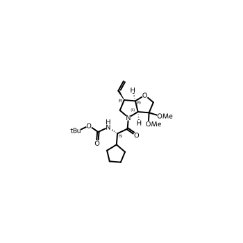 C=C[C@@H]1CN(C(=O)[C@@H](NC(=O)OC(C)(C)C)C2CCCC2)[C@H]2[C@@H]1OCC2(OC)OC